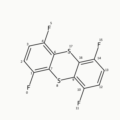 Fc1ccc(F)c2c1Sc1c(F)ccc(F)c1S2